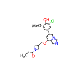 C=CC(=O)N1CC(COc2cc(-c3cc(Cl)c(O)c(OC)c3)cn3cncc23)C1